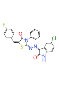 O=C1Nc2ccc(Cl)cc2C1=NN=C1SC(=Cc2ccc(F)cc2)C(=O)N1c1ccccc1